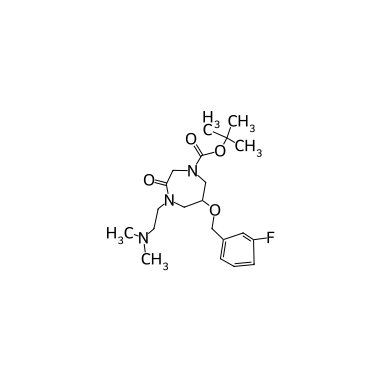 CN(C)CCN1CC(OCc2cccc(F)c2)CN(C(=O)OC(C)(C)C)CC1=O